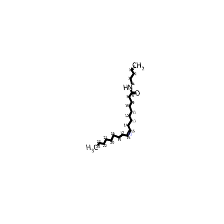 C=CCCCNC(=O)CCCCCCC/C=C\CCCCCCCC